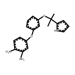 CC(C)(Oc1cccc(Oc2ccc(N)c(N)c2)c1)c1ccc[nH]1